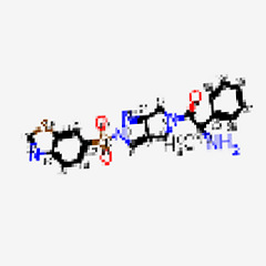 C[C@](N)(C(=O)N1Cc2cn(S(=O)(=O)c3ccc4ncsc4c3)nc2C1)c1ccccc1